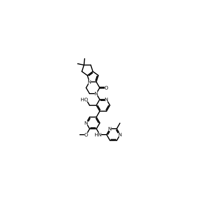 COc1ncc(-c2ccnc(N3CCn4c(cc5c4CC(C)(C)C5)C3=O)c2CO)cc1Nc1ccnc(C)n1